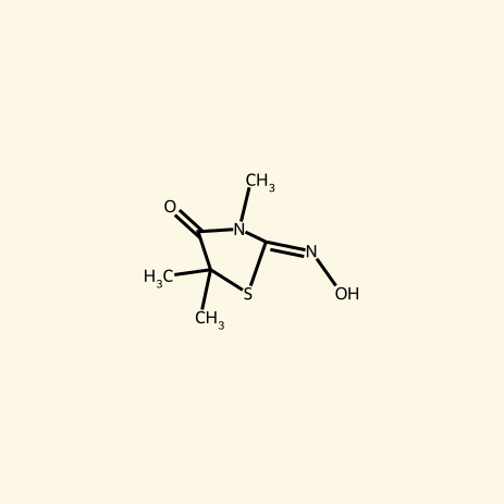 CN1C(=O)C(C)(C)SC1=NO